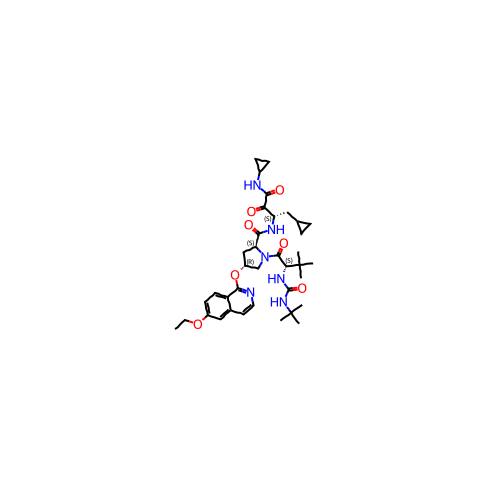 CCOc1ccc2c(O[C@@H]3C[C@@H](C(=O)N[C@@H](CC4CC4)C(=O)C(=O)NC4CC4)N(C(=O)[C@@H](NC(=O)NC(C)(C)C)C(C)(C)C)C3)nccc2c1